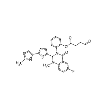 Cc1nc(-c2ccc(C3N(C)c4ccc(F)cc4C(=O)N3c3ccccc3OC(=O)CCC=O)s2)cs1